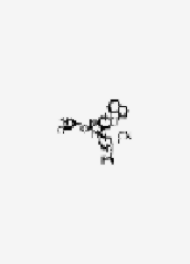 C=C(F)CN1CCN(c2nc(OCC3CC(=O)N(C)C3)nc3c2CCN(c2cccc4cccc(Cl)c24)C3)C[C@@H]1CC#N